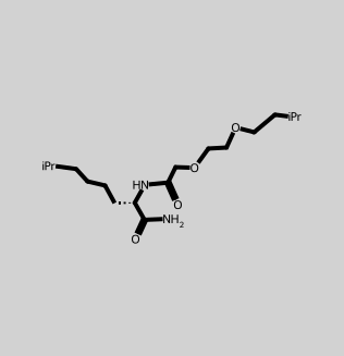 CC(C)CCCC[C@H](NC(=O)COCCOCCC(C)C)C(N)=O